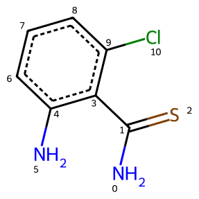 NC(=S)c1c(N)cccc1Cl